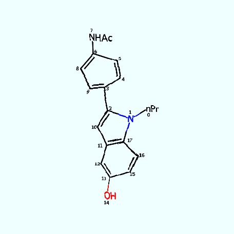 CCCn1c(-c2ccc(NC(C)=O)cc2)cc2cc(O)ccc21